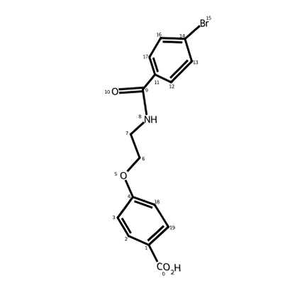 O=C(O)c1ccc(OCCNC(=O)c2ccc(Br)cc2)cc1